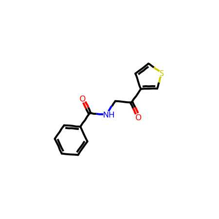 O=C(CNC(=O)c1ccccc1)c1ccsc1